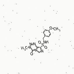 COc1ccc(CNS(=O)(=O)c2ncn3c(=O)n(C)nnc23)cc1